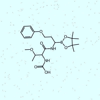 COC(C)C(NC(=O)O)C(=O)NC(CCOc1ccccc1)B1OC(C)(C)C(C)(C)O1